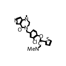 CNCC[C@H](Oc1ccc(CN2CCN(C)c3ccncc3C2=O)cc1Cl)c1cccs1